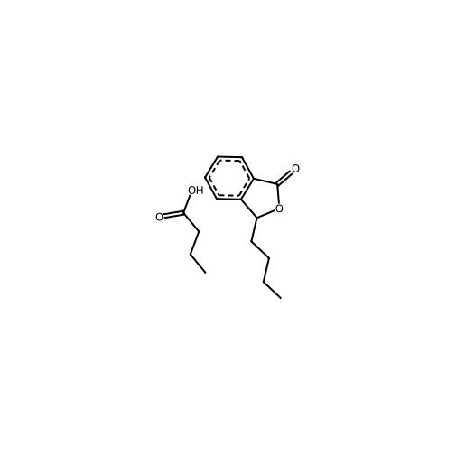 CCCC(=O)O.CCCCC1OC(=O)c2ccccc21